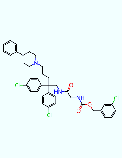 O=C(CNC(=O)OCc1cccc(Cl)c1)NCC(CCCN1CCC(c2ccccc2)CC1)(c1ccc(Cl)cc1)c1ccc(Cl)cc1